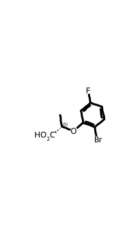 C[C@H](Oc1cc(F)ccc1Br)C(=O)O